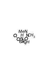 CNCCN(C)c1ccc(O)c(C(=O)Nc2cc(-c3ccccc3)ccc2C)c1